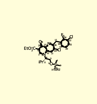 CCOC(=O)c1cn([C@H](CO[Si](C)(C)C(C)(C)C)C(C)C)c2cc(Cl)c(Cc3cccc(Cl)c3F)nc2c1=O